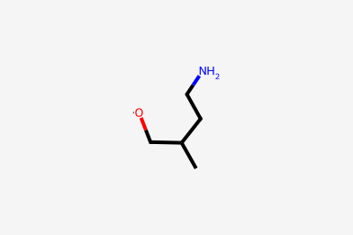 CC(C[O])CCN